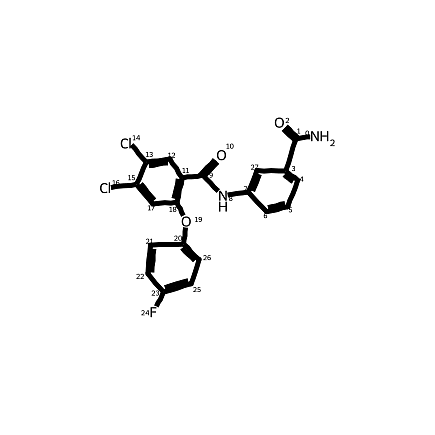 NC(=O)c1cccc(NC(=O)c2cc(Cl)c(Cl)cc2Oc2ccc(F)cc2)c1